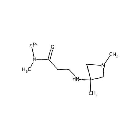 CCCN(C)C(=O)CCNC1(C)CN(C)C1